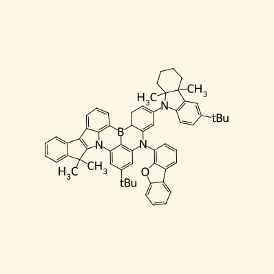 CC(C)(C)c1cc2c3c(c1)-n1c4c(c5cccc(c51)B3C1CC=C(N3c5ccc(C(C)(C)C)cc5C5(C)CCCCC35C)C=C1N2c1cccc2c1oc1ccccc12)-c1ccccc1C4(C)C